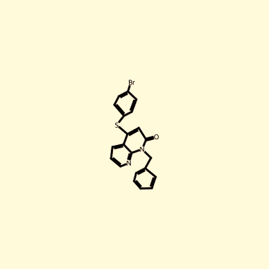 O=c1cc(Sc2ccc(Br)cc2)c2cccnc2n1Cc1ccccc1